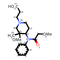 COCC(=O)N(c1ccccc1)C1CCN(CCC(=O)O)CC1(C)OC